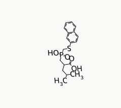 CC(C)CC(CP(=O)(O)CSc1ccc2ccccc2c1)C(=O)O